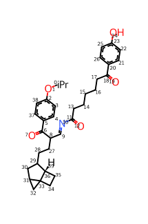 CC(C)Oc1ccc(C(=O)C(/C=N/C(=O)CCCCCC(=O)c2ccc(O)cc2)CCC2CC3CC34CC[C@@H]24)cc1